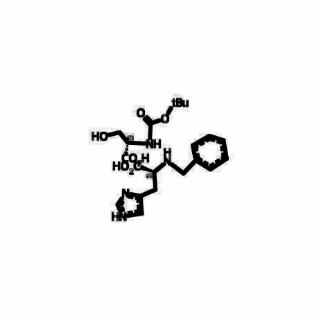 CC(C)(C)OC(=O)N[C@@H](CO)C(=O)O.O=C(O)[C@H](Cc1c[nH]cn1)NCc1ccccc1